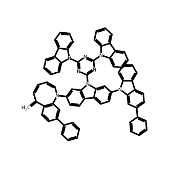 C=C1/C=C\C=C/N(c2ccc3c4ccc(-n5c6ccccc6c6ccc(-c7ccccc7)cc65)cc4n(-c4nc(-n5c6ccccc6c6ccccc65)nc(-n5c6ccccc6c6ccccc65)n4)c3c2)c2cc(-c3ccccc3)ccc21